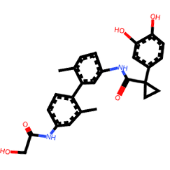 Cc1cc(NC(=O)CO)ccc1-c1cc(NC(=O)C2(c3ccc(O)c(O)c3)CC2)ccc1C